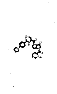 CC(=O)N1CCCCC1C(=O)N1CC(=O)C2C1CCN2C(=O)C(CC(C)C)NC(=O)c1ccc(N2CCCC2)cc1